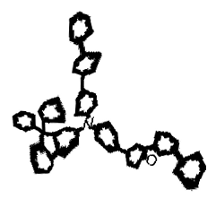 c1ccc(-c2ccc(-c3ccc(N(c4ccc(-c5ccc6oc7c(-c8ccccc8)cccc7c6c5)cc4)c4ccc5c(c4)C(c4ccccc4)(c4ccccc4)c4ccccc4-5)cc3)cc2)cc1